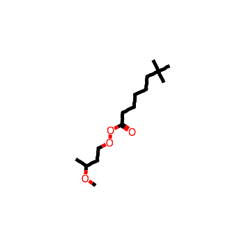 COC(C)CCOOC(=O)CCCCCC(C)(C)C